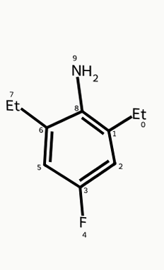 CCc1cc(F)cc(CC)c1N